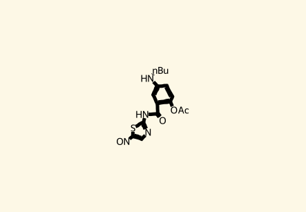 CCCCNc1ccc(OC(C)=O)c(C(=O)Nc2ncc(N=O)s2)c1